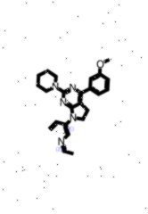 C=C/C(=C\N=C/C)N1CCc2c(-c3cccc(OC)c3)nc(N3CCCCC3)nc21